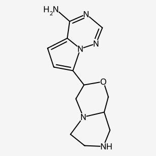 Nc1ncnn2c(C3CN4CCNCC4CO3)ccc12